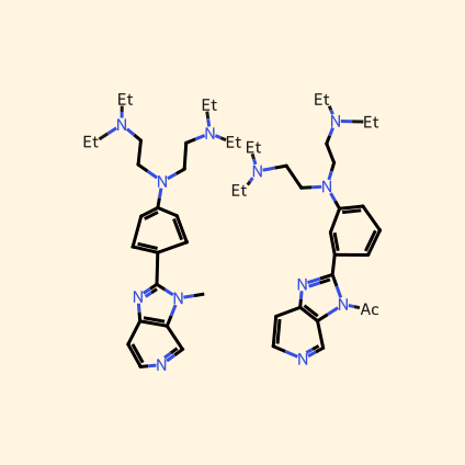 CCN(CC)CCN(CCN(CC)CC)c1ccc(-c2nc3ccncc3n2C)cc1.CCN(CC)CCN(CCN(CC)CC)c1cccc(-c2nc3ccncc3n2C(C)=O)c1